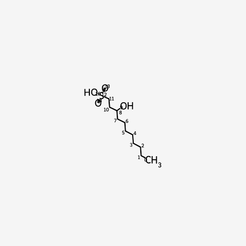 CCCCCCCCC(O)CCS(=O)(=O)O